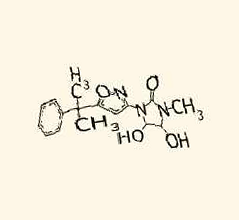 CN1C(=O)N(c2cc(C(C)(C)c3ccccc3)on2)C(O)C1O